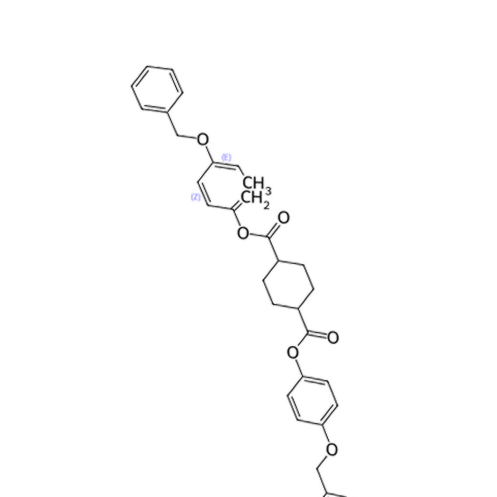 C=C(/C=C\C(=C/C)OCc1ccccc1)OC(=O)C1CCC(C(=O)Oc2ccc(OCc3ccccc3)cc2)CC1